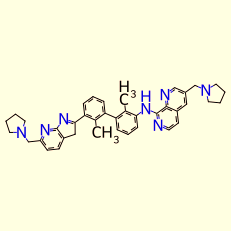 Cc1c(Nc2nccc3cc(CN4CCCC4)cnc23)cccc1-c1cccc(C2=Nc3nc(CN4CCCC4)ccc3C2)c1C